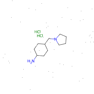 Cl.Cl.NC1CCC(CN2CCCC2)CC1